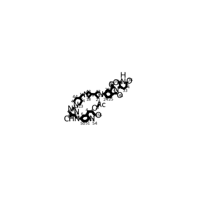 CC(=O)COc1cc2cc(Nc3nc(N4CCC(CN5CC(C6CN(c7ccc8c(c7)C(=O)N(C7CCC(=O)NC7=O)C8=O)C6)C5)CC4)ncc3Cl)ccc2n(C)c1=O